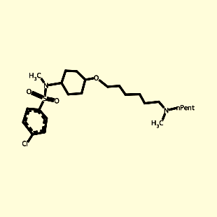 CCCCCN(C)CCCCCCOC1CCC(N(C)S(=O)(=O)c2ccc(Cl)cc2)CC1